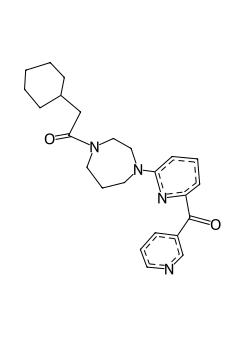 O=C(c1cccnc1)c1cccc(N2CCCN(C(=O)CC3CCCCC3)CC2)n1